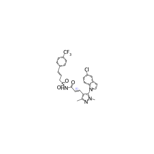 Cc1nn(C)c(-n2ccc3cc(Cl)ccc32)c1/C=C/C(=O)NS(=O)(=O)CC=Cc1ccc(C(F)(F)F)cc1